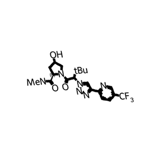 CNC(=O)[C@H]1CC(O)CN1C(=O)C(n1cc(-c2ccc(C(F)(F)F)cn2)nn1)C(C)(C)C